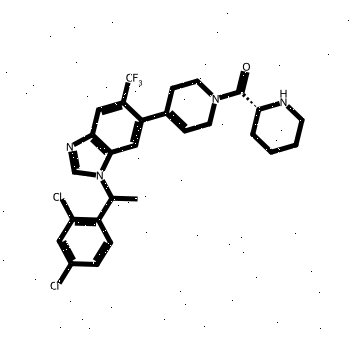 CC(c1ccc(Cl)cc1Cl)n1cnc2cc(C(F)(F)F)c(C3=CCN(C(=O)[C@H]4CCCCN4)CC3)cc21